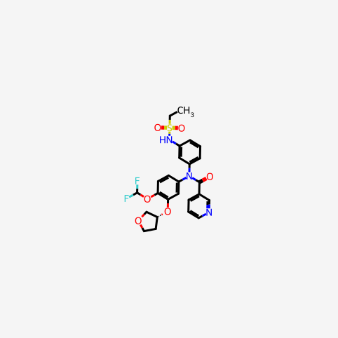 CCS(=O)(=O)Nc1cccc(N(C(=O)c2cccnc2)c2ccc(OC(F)F)c(O[C@@H]3CCOC3)c2)c1